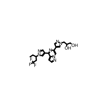 CCC(CC(F)(F)F)n1cc(-c2nc(-c3cnn(CC(O)CO)c3)cn3nccc23)cn1